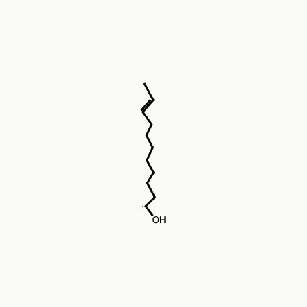 CC=CCCCCCCC[CH]O